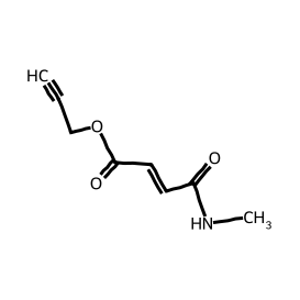 C#CCOC(=O)/C=C/C(=O)NC